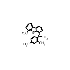 Cc1ccc(N(C)c2cccc3c2sc2c(C(C)(C)C)cccc23)c(C)c1